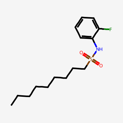 CCCCCCCCCS(=O)(=O)Nc1ccccc1F